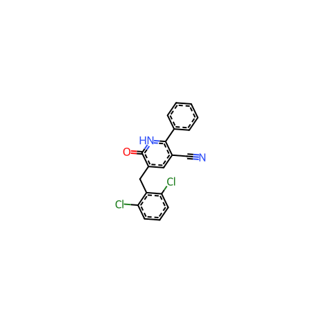 N#Cc1cc(Cc2c(Cl)cccc2Cl)c(=O)[nH]c1-c1ccccc1